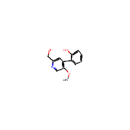 CCCOc1cnc(CO)cc1-c1ccccc1O